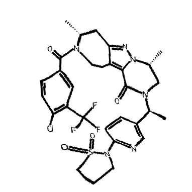 C[C@@H]1Cc2nn3c(c2CN1C(=O)c1ccc(Cl)c(C(F)(F)F)c1)C(=O)N([C@@H](C)c1ccc(N2CCCS2(=O)=O)nc1)C[C@H]3C